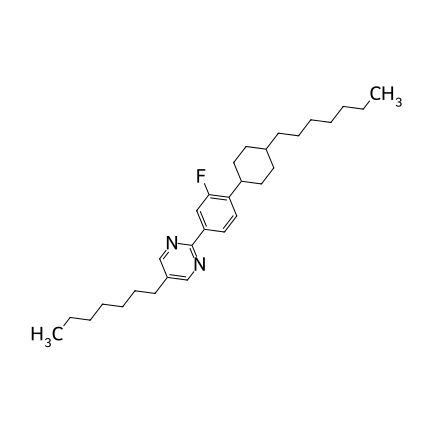 CCCCCCCc1cnc(-c2ccc(C3CCC(CCCCCCC)CC3)c(F)c2)nc1